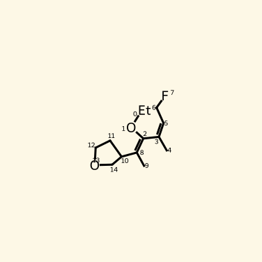 CCOC(/C(C)=C\CF)=C(/C)C1CCOC1